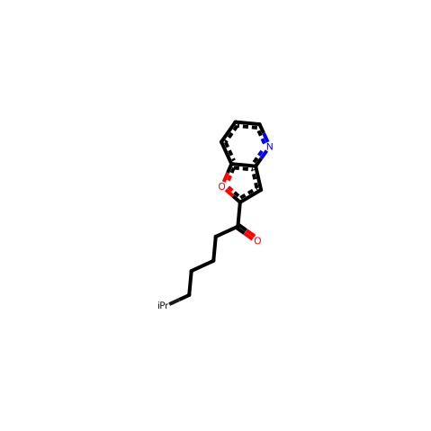 CC(C)CCCCC(=O)c1cc2ncccc2o1